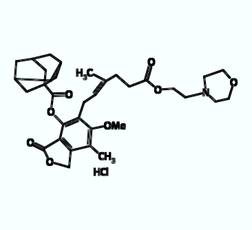 COc1c(C)c2c(c(OC(=O)C34CC5CC(CC(C5)C3)C4)c1C/C=C(\C)CCC(=O)OCCN1CCOCC1)C(=O)OC2.Cl